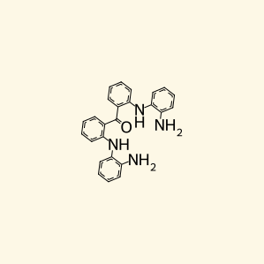 Nc1ccccc1Nc1ccccc1C(=O)c1ccccc1Nc1ccccc1N